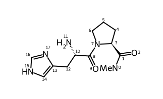 CNC(=O)[C@@H]1CCCN1C(=O)[C@@H](N)Cc1c[nH]cn1